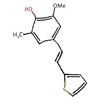 COc1cc(/C=C/c2cccs2)cc(C)c1O